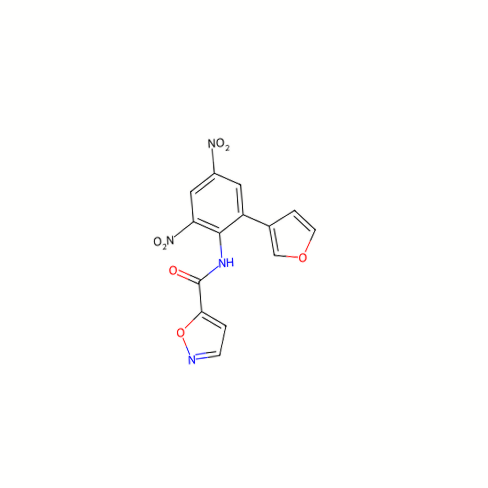 O=C(Nc1c(-c2ccoc2)cc([N+](=O)[O-])cc1[N+](=O)[O-])c1ccno1